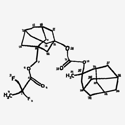 CC(F)(F)C(=O)OCC12CC3CC(C1)CC(OC(=O)OC1(C)C4CC5CC(C4)CC1C5)(C3)C2